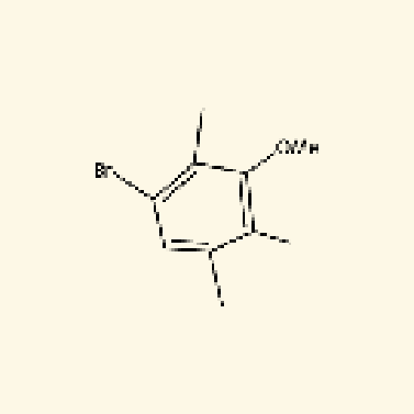 COc1c(C)c(C)cc(Br)c1C